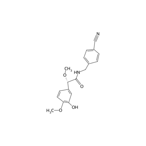 COc1ccc([C@H](OC)C(=O)NCc2ccc(C#N)cc2)cc1O